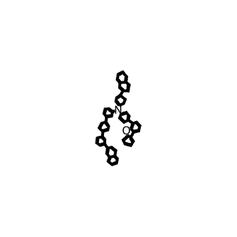 C1=C(c2ccc3ccccc3c2)CCC(N(c2ccc(-c3cccc4c3oc3ccccc34)cc2)c2cccc(-c3ccc(-c4cccc(-c5ccc6ccccc6c5)c4)cc3)c2)=C1